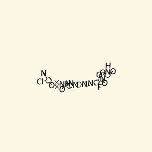 CC1(C)[C@H](NC(=O)c2ccc(N3CCC(N4CCN(c5cc(F)c6c(c5)C(=O)N(C5CCC(=O)NC5=O)C6=O)CC4)CC3)nn2)C(C)(C)[C@H]1Oc1ccc(C#N)c(Cl)c1